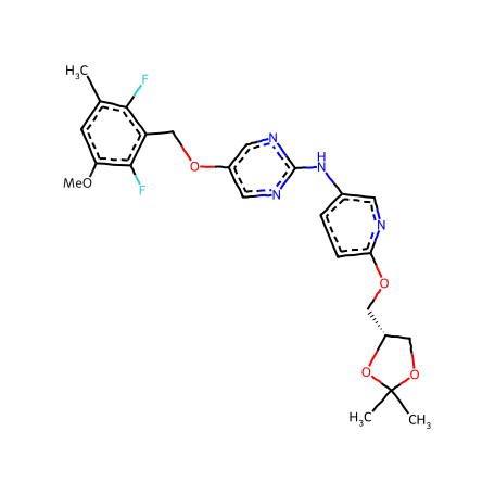 COc1cc(C)c(F)c(COc2cnc(Nc3ccc(OC[C@@H]4COC(C)(C)O4)nc3)nc2)c1F